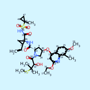 C=CC1C[C@]1(NC(=O)[C@@H]1C[C@@H](Oc2cc(OCC)nc3c(C)c(OC)ccc23)CN1C(=O)C(O)C(C)(C)SC)C(=O)NS(=O)(=O)C1(C)CC1